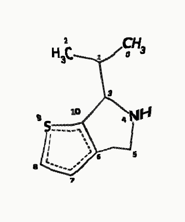 CC(C)C1NCc2ccsc21